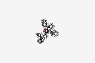 c1ccc(N(c2cccc(-c3ccc4c(c3)C3(c5ccc6ccccc6c5)c5ccccc5C4(c4ccc5ccccc5c4)c4ccccc43)c2)c2ccccn2)cc1